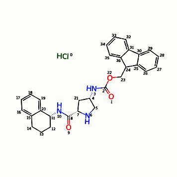 Cl.O=C(N[C@@H]1CN[C@H](C(=O)N[C@@H]2CCCc3ccccc32)C1)OCC1c2ccccc2-c2ccccc21